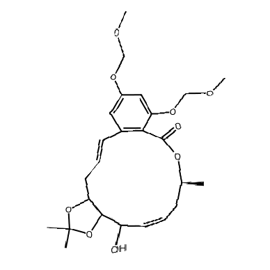 COCOc1cc2c(c(OCOC)c1)C(=O)O[C@@H](C)C/C=C\C(O)C1OC(C)(C)OC1C/C=C/2